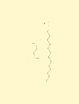 CCCCCCCCCCCCCCO[Se](=O)O.CN(C)CCN(C)C